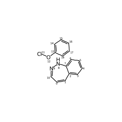 C1=Cc2ccccc2NN=C1.ClOc1ccccc1